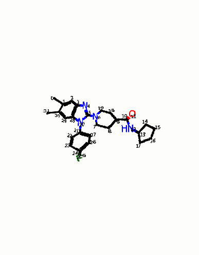 Cc1cc2nc(N3CCC(C(=O)NC4CCCC4)CC3)n(-c3ccc(F)cc3)c2cc1C